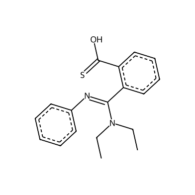 CCN(CC)C(=Nc1ccccc1)c1ccccc1C(O)=S